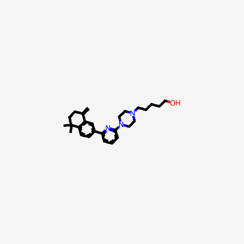 C=C1CCC(C)(C)c2ccc(-c3cccc(N4CCN(CCCCCO)CC4)n3)cc21